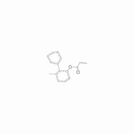 C=CC(=O)Oc1cccc(C)c1-c1ccccc1